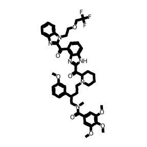 COc1cccc(C(CCN2CCCCC2C(=O)c2nc3c(C(=O)c4nc5ccccc5n4CCOCC(F)(F)F)cccc3[nH]2)CN(C)C(=O)c2cc(OC)c(OC)c(OC)c2)c1